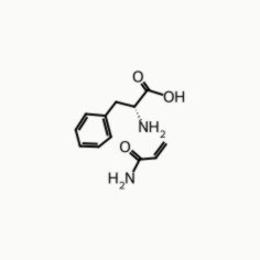 C=CC(N)=O.N[C@H](Cc1ccccc1)C(=O)O